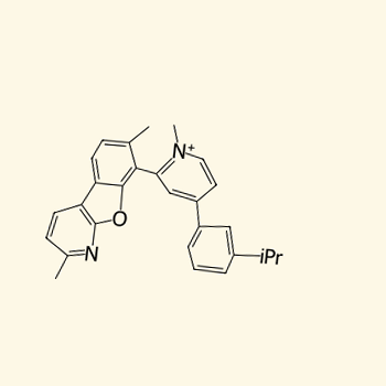 Cc1ccc2c(n1)oc1c(-c3cc(-c4cccc(C(C)C)c4)cc[n+]3C)c(C)ccc12